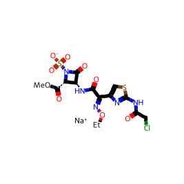 CCO/N=C(/C(=O)N[C@H]1C(=O)N(S(=O)(=O)[O-])[C@H]1C(=O)OC)c1csc(NC(=O)CCl)n1.[Na+]